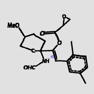 COC1CCC(NC=O)(/C(=C/c2cc(C)ccc2C)OC(=O)C2CO2)CC1